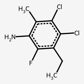 CCc1c(F)c(N)c(C)c(Cl)c1Cl